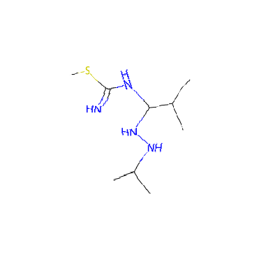 CSC(=N)NC(NNC(C)C)C(C)C